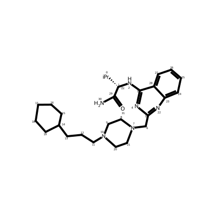 CC(C)[C@H](Nc1nc(CN2CCN(CCCC3CCCCC3)CC2)nc2ccccc12)C(N)=O